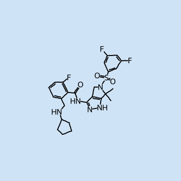 CC1(C)c2[nH]nc(NC(=O)c3c(F)cccc3CNC3CCCC3)c2CN1S(=O)(=O)c1cc(F)cc(F)c1